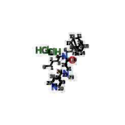 CCCCCN(CCC12CC3CC(CC(C3)C1)C2)C(=O)CCN(C)Cc1ccncc1.Cl.Cl